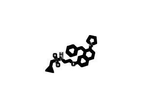 O=S(=O)(CC1CC1)NCCOc1ccc2c(c1)C(Cc1ccccc1)C(N1CCCC1)CC2